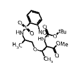 COC(=O)C(NC(=O)OC(C)(C)C)C(C)OCC(C)NS(=O)(=O)c1ccccc1[N+](=O)[O-]